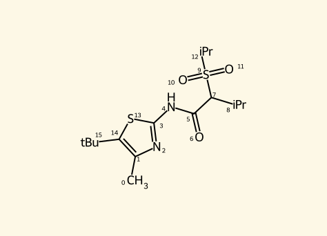 Cc1nc(NC(=O)C(C(C)C)S(=O)(=O)C(C)C)sc1C(C)(C)C